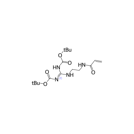 C=CC(=O)NCCN/C(=N/C(=O)OC(C)(C)C)NC(=O)OC(C)(C)C